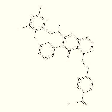 COC(=O)c1ccc(CNc2cccc3nc([C@H](C)Nc4nc(N)nc(C)c4C#N)n(-c4ccccc4)c(=O)c23)cc1